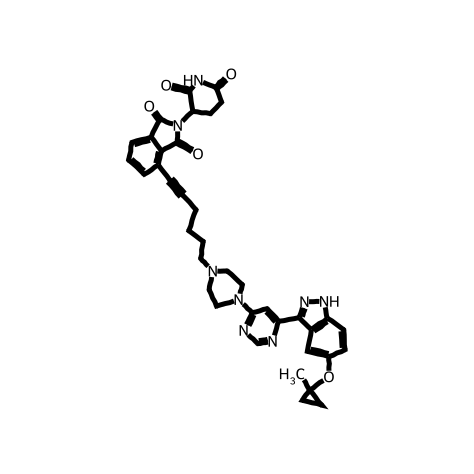 CC1(Oc2ccc3[nH]nc(-c4cc(N5CCN(CCCCC#Cc6cccc7c6C(=O)N(C6CCC(=O)NC6=O)C7=O)CC5)ncn4)c3c2)CC1